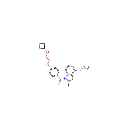 Cc1cc2c(CC(=O)O)cccc2n1C(=O)c1ccc(OCCOC2CCC2)cc1